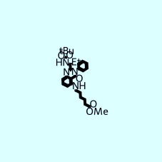 CC[C@H](NC(=O)OC(C)(C)C)c1nc2cccc(NCCCCCC(=O)OC)c2c(=O)n1-c1ccccc1